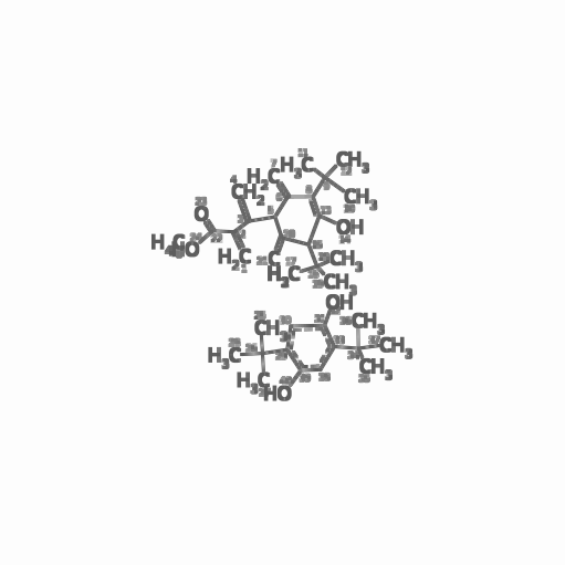 C.C=C(C(=C)C1C(=C)C(C(C)(C)C)=C(O)C(C(C)(C)C)C1=C)C(=O)O.CC(C)(C)c1cc(O)c(C(C)(C)C)cc1O